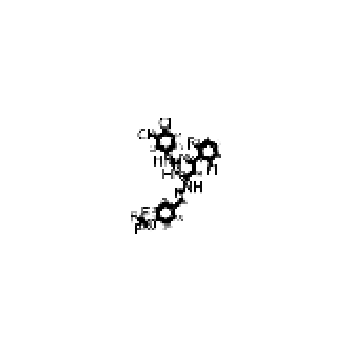 Fc1cccc(Cl)c1C1=NN(Nc2ccc(Cl)c(Cl)c2)NC(NN=Cc2ccc(OC(F)(F)F)cc2)=C1